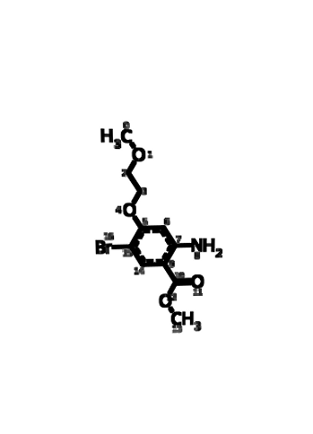 COCCOc1cc(N)c(C(=O)OC)cc1Br